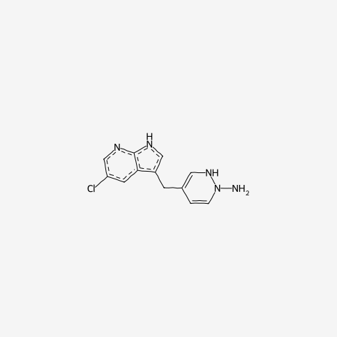 NN1C=CC(Cc2c[nH]c3ncc(Cl)cc23)=CN1